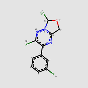 Fc1cccc(-c2nc3[n+](nc2Br)C(Br)OC3)c1